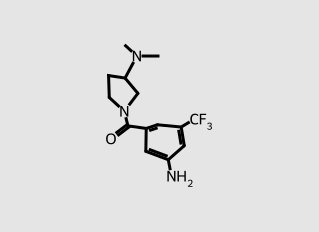 CN(C)C1CCN(C(=O)c2cc(N)cc(C(F)(F)F)c2)C1